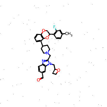 Cc1ccc(C2COc3cccc(C4CCN(Cc5nc6ccc(C=O)cc6n5CC5CCO5)CC4)c3O2)c(F)c1